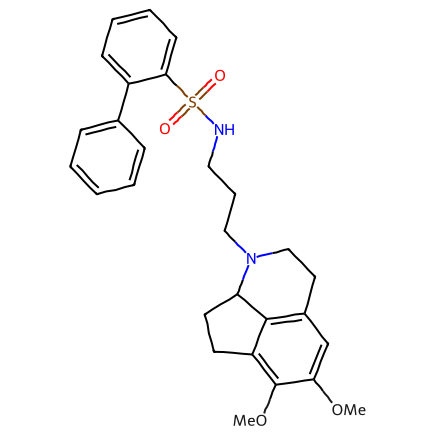 COc1cc2c3c(c1OC)CCC3N(CCCNS(=O)(=O)c1ccccc1-c1ccccc1)CC2